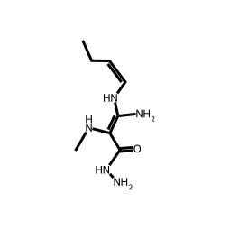 CC/C=C\N/C(N)=C(\NC)C(=O)NN